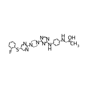 C[C@H](O)CNc1ccc(Nc2ncnc(N3CCN(c4ncc(Sc5ccccc5F)cn4)CC3)n2)cc1